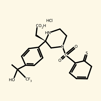 CC(O)(c1ccc([C@@]2(CC(=O)O)CN(S(=O)(=O)C3=CC=CCC3=S)CCN2)cc1)C(F)(F)F.Cl